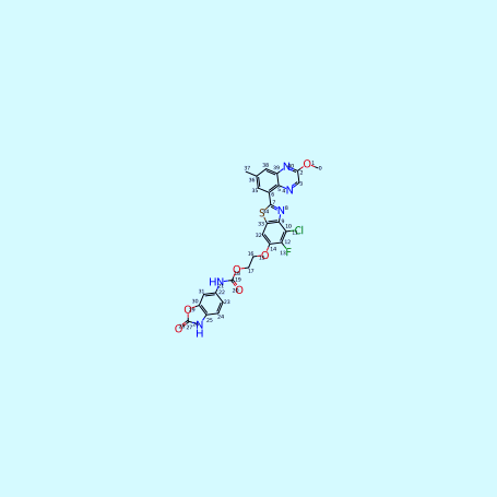 COc1cnc2c(-c3nc4c(Cl)c(F)c(OCCOC(=O)Nc5ccc6[nH]c(=O)oc6c5)cc4s3)cc(C)cc2n1